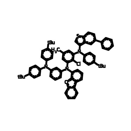 Cc1cc(N(c2ccc(C(C)(C)C)cc2)c2csc3ccc(-c4ccccc4)cc23)c(Cl)c(N(c2cccc(N(c3ccc(C(C)(C)C)cc3)c3ccc(C(C)(C)C)cc3)c2)c2cccc3c2oc2ccccc23)c1